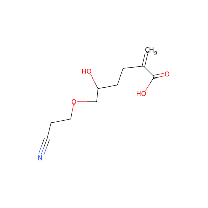 C=C(CCC(O)COCCC#N)C(=O)O